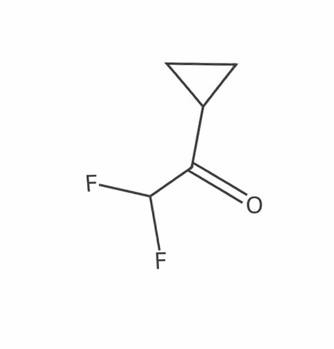 O=C(C(F)F)C1CC1